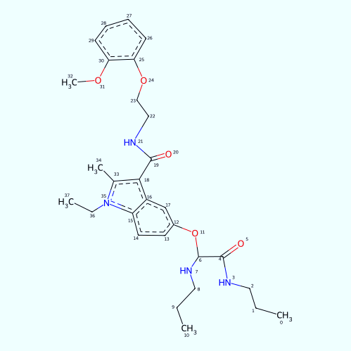 CCCNC(=O)C(NCCC)Oc1ccc2c(c1)c(C(=O)NCCOc1ccccc1OC)c(C)n2CC